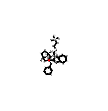 CO[C@H]1[C@@H](Cc2ccccc2)C[C@@H]2CC[C@H]1N2Cc1nc2ccccc2n1COCC[Si](C)(C)C